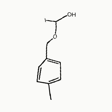 Cc1ccc(COC(O)I)cc1